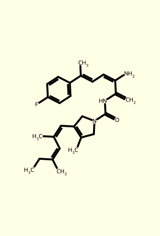 C=C(NC(=O)N1CC(C)=C(/C=C(C)\C=C(\C)CC)C1)/C(N)=C\C=C(/C)c1ccc(F)cc1